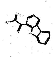 C=C(C)C(=O)c1cccc2c1[nH]c1ccccc12